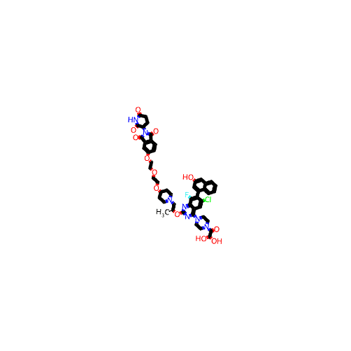 C[C@H](CN1CCC(OCCOCCOc2ccc3c(c2)C(=O)N(C2CCC(=O)NC2=O)C3=O)CC1)Oc1nc(N2CCN(C(=O)C(O)O)CC2)c2cc(Cl)c(-c3cc(O)cc4ccccc34)c(F)c2n1